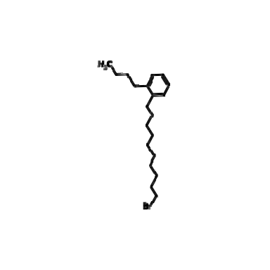 CCCCc1ccccc1CCCCCCCCCCBr